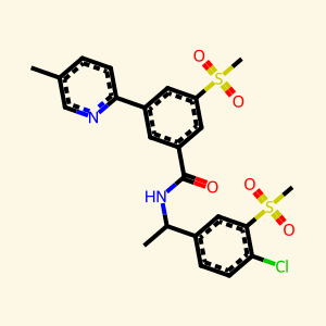 Cc1ccc(-c2cc(C(=O)NC(C)c3ccc(Cl)c(S(C)(=O)=O)c3)cc(S(C)(=O)=O)c2)nc1